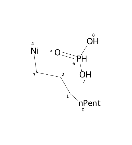 CCCCCCC[CH2][Ni].O=[PH](O)O